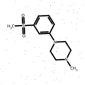 CN1CCN(c2cccc(S(C)(=O)=O)c2)CC1